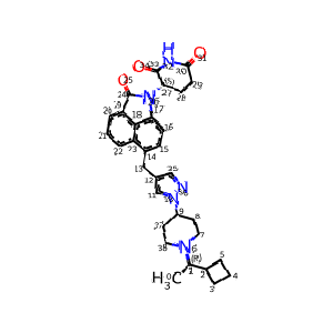 C[C@H](C1CCC1)N1CCC(n2cc(Cc3ccc4c5c(cccc35)C(=O)N4[C@H]3CCC(=O)NC3=O)cn2)CC1